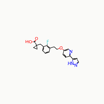 O=C(O)C1(Cc2cccc(CCOc3ccc(-c4ccn[nH]4)nc3)c2F)CC1